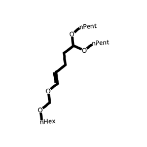 CCCCCCOCOC=CCCC(OCCCCC)OCCCCC